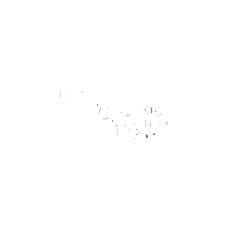 Cn1c(=O)n(-c2c(Cl)cccc2Cl)c(=N)c2cnc(Nc3ccc(N4CCOC(CO)C4)cc3)nc21